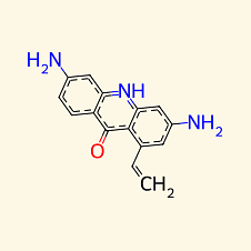 C=Cc1cc(N)cc2[nH]c3cc(N)ccc3c(=O)c12